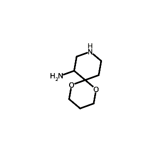 NC1CNCCC12OCCCO2